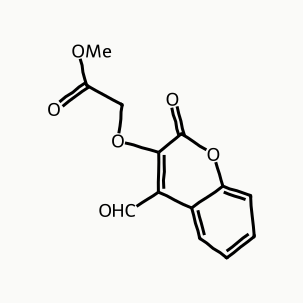 COC(=O)COc1c(C=O)c2ccccc2oc1=O